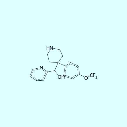 OC(c1ccccn1)C1(c2ccc(OC(F)(F)F)cc2)CCNCC1